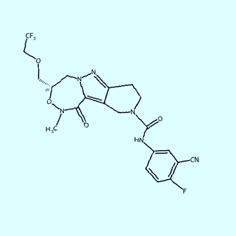 CN1O[C@H](COCC(F)(F)F)Cn2nc3c(c2C1=O)CN(C(=O)Nc1ccc(F)c(C#N)c1)CC3